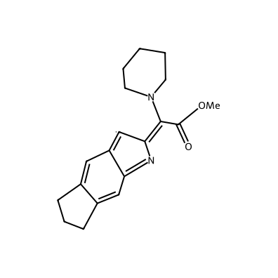 COC(=O)C(=C1[C]=c2cc3c(cc2=N1)CCC3)N1CCCCC1